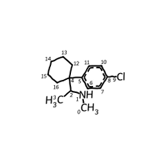 CNC(C)C1(c2ccc(Cl)cc2)CCCCC1